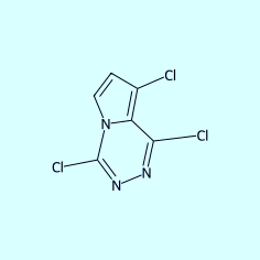 Clc1ccn2c(Cl)nnc(Cl)c12